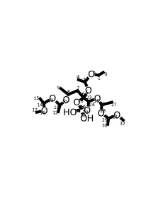 CCOC(C)OC(CC(C)OC(C)OC(C)OC)(OP(=O)(O)O)C(C)OC(C)OC(C)OC